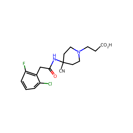 N#CC1(NC(=O)Cc2c(F)cccc2Cl)CCN(CCC(=O)O)CC1